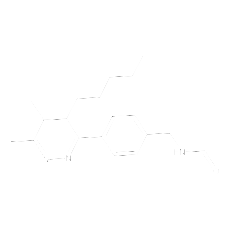 CCCCCC1C(c2ccc(CNC=O)cc2)=NN=C(C)C1C